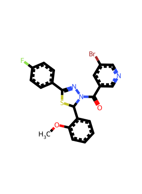 COc1ccccc1C1SC(c2ccc(F)cc2)=NN1C(=O)c1cncc(Br)c1